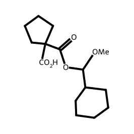 COC(OC(=O)C1(C(=O)O)CCCC1)C1CCCCC1